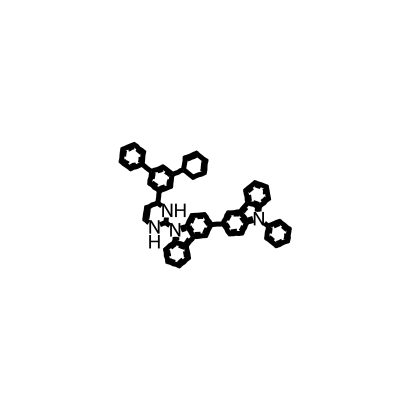 C1=CCC(c2cc(-c3ccccc3)cc(C3C=CNC(n4c5ccccc5c5cc(-c6ccc7c(c6)c6ccccc6n7-c6ccccc6)ccc54)N3)c2)C=C1